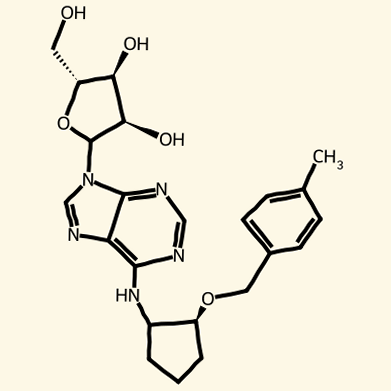 Cc1ccc(CO[C@H]2CCCC2Nc2ncnc3c2ncn3C2O[C@H](CO)[C@@H](O)[C@H]2O)cc1